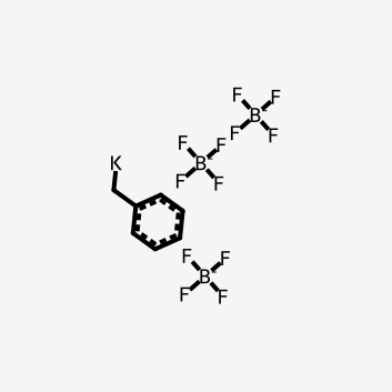 F[B-](F)(F)F.F[B-](F)(F)F.F[B-](F)(F)F.[K][CH2]c1ccccc1